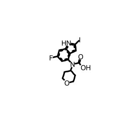 O=C(O)N(c1cc(F)cc2[nH]c(I)cc12)C1CCOCC1